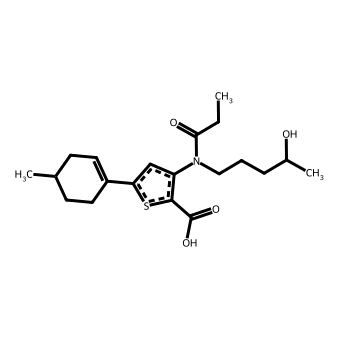 CCC(=O)N(CCCC(C)O)c1cc(C2=CCC(C)CC2)sc1C(=O)O